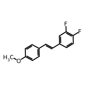 COc1ccc(C=Cc2ccc(F)c(F)c2)cc1